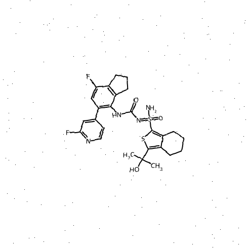 CC(C)(O)c1sc(S(N)(=O)=NC(=O)Nc2c(-c3ccnc(F)c3)cc(F)c3c2CCC3)c2c1CCCC2